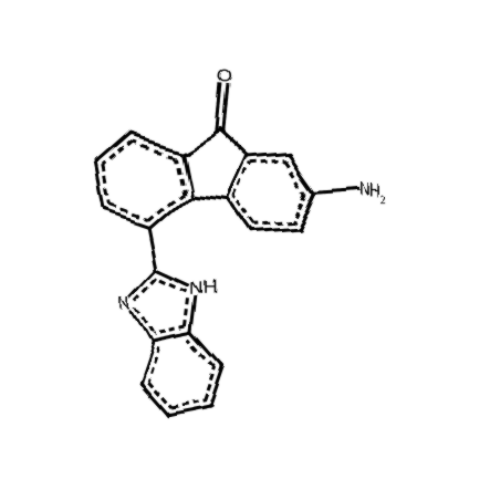 Nc1ccc2c(c1)C(=O)c1cccc(-c3nc4ccccc4[nH]3)c1-2